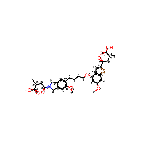 COc1cc(OCCCCc2cc3c(cc2OC)CN(C(=O)C[C@H](C)C(=O)O)C3)c2cc(C(=O)C[C@H](C)C(=O)O)sc2c1